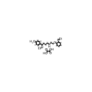 CCOc1ccccc1OCCNCCCC(OCC)c1ccc(C)cc1.O=C(O)C(=O)O